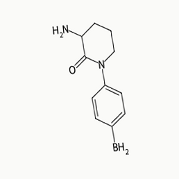 Bc1ccc(N2CCCC(N)C2=O)cc1